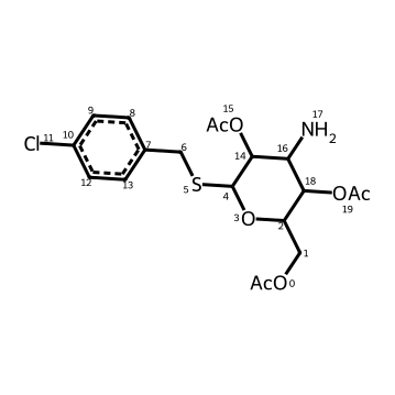 CC(=O)OCC1OC(SCc2ccc(Cl)cc2)C(OC(C)=O)C(N)C1OC(C)=O